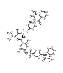 CC(C)OC(=O)[C@H](CCc1ccc(-n2c(=O)c3ccncc3n(C)c2=O)nc1)NC(=O)c1cc(F)c(NS(=O)(=O)c2ccc(NC(=O)C3(c4ccccc4)CC3)cc2)cc1F